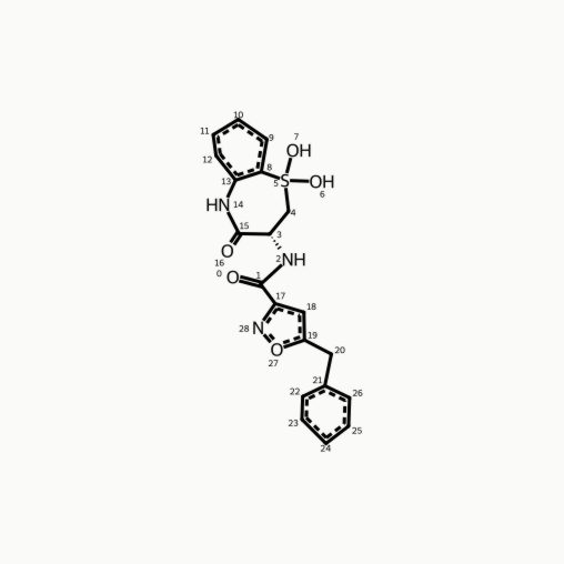 O=C(N[C@H]1CS(O)(O)c2ccccc2NC1=O)c1cc(Cc2ccccc2)on1